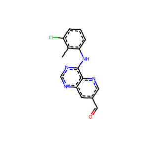 Cc1c(Cl)cccc1Nc1ncnc2cc(C=O)cnc12